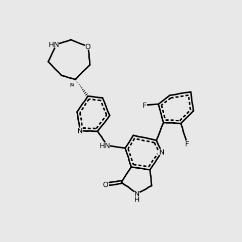 O=C1NCc2nc(-c3c(F)cccc3F)cc(Nc3ccc([C@@H]4CCNCOC4)cn3)c21